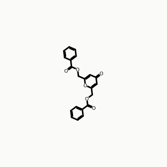 O=C(OCc1cc(=O)cc(COC(=O)c2ccccc2)o1)c1ccccc1